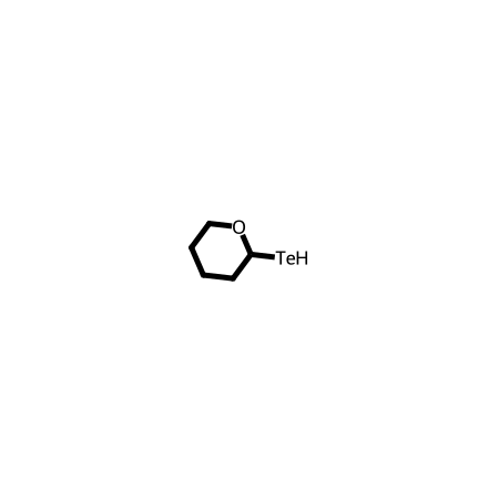 [TeH]C1CCCCO1